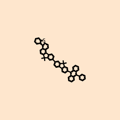 CC1(C)c2cc(-c3ccc4c(c3)C(C)(C)c3ccc5c(ccc6sc7ccccc7c65)c3-4)ccc2-c2ccc(-c3c4ccccc4c(-c4ccccc4)c4ccccc34)cc21